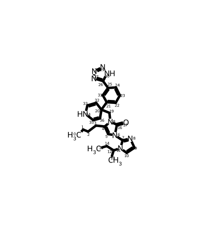 CCCCc1cn(-c2nccn2C(C)CC)c(=O)n1CC1(c2cccc(-c3nnn[nH]3)c2)C=CNC=C1